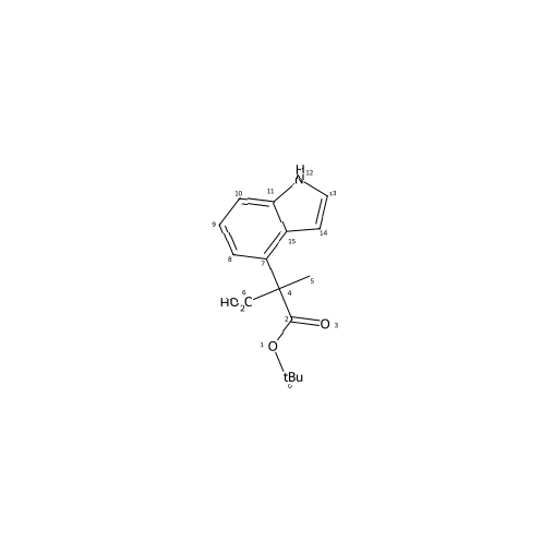 CC(C)(C)OC(=O)C(C)(C(=O)O)c1cccc2[nH]ccc12